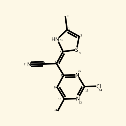 CC1=CS/C(=C(/C#N)c2cc(C)nc(Cl)n2)N1